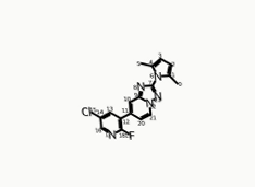 Cc1ccc(C)n1-c1nc2cc(-c3cc(Cl)cnc3F)ccn2n1